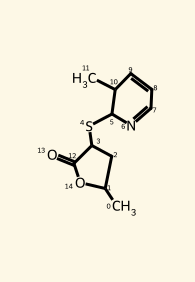 CC1CC(SC2N=CC=CC2C)C(=O)O1